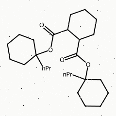 CCCC1(OC(=O)C2CCCCC2C(=O)OC2(CCC)CCCCC2)CCCCC1